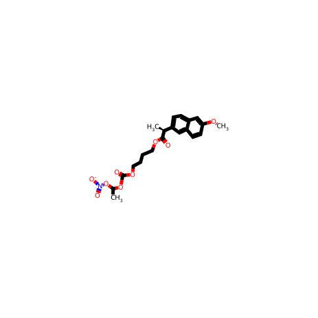 COc1ccc2cc([C@H](C)C(=O)OCCCCOC(=O)OC(C)O[N+](=O)[O-])ccc2c1